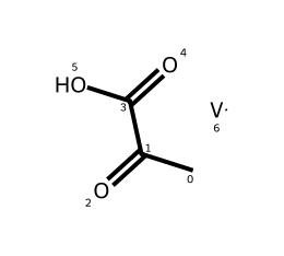 CC(=O)C(=O)O.[V]